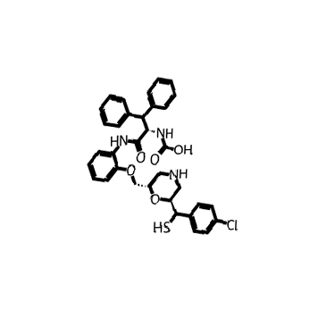 O=C(O)N[C@H](C(=O)Nc1ccccc1OC[C@@H]1CNC[C@@H](C(S)c2ccc(Cl)cc2)O1)C(c1ccccc1)c1ccccc1